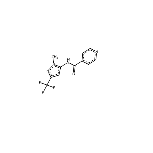 Cn1nc(C(F)(F)F)cc1NC(=O)c1ccncc1